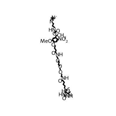 COc1cc(C(C)OC(=O)NCCCN=[N+]=[N-])c([N+](=O)[O-])cc1OCCCC(=O)NCCOCCOCCOCCNC(=O)CCCC[C@H]1SC[C@H]2NC(=O)N[C@H]21